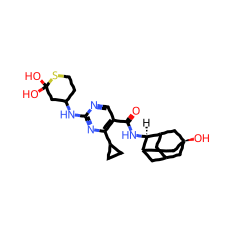 O=C(N[C@H]1C2CC3CC1C[C@@](O)(C3)C2)c1cnc(NC2CCSC(O)(O)C2)nc1C1CC1